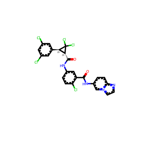 O=C(Nc1ccc2nccn2c1)c1cc(NC(=O)[C@@H]2[C@@H](c3cc(Cl)cc(Cl)c3)C2(Cl)Cl)ccc1Cl